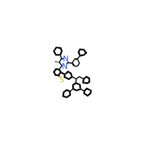 C[C@H]1C(c2ccccc2)=NC(C2=CCCC(c3ccccc3)=C2)=NC1c1cccc2sc3cc(C(Cc4ccccc4)c4cc(-c5ccccc5)cc(-c5ccccc5)c4)ccc3c12